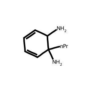 CCCC1(N)C=CC=CC1N